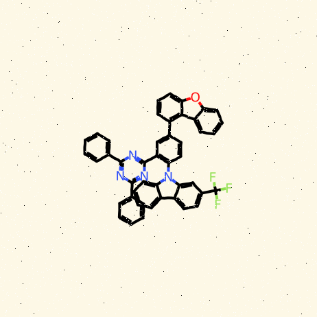 FC(F)(F)c1ccc2c3ccccc3n(-c3ccc(-c4cccc5oc6ccccc6c45)cc3-c3nc(-c4ccccc4)nc(-c4ccccc4)n3)c2c1